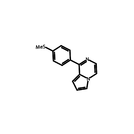 CSc1ccc(-c2nccn3cccc23)cc1